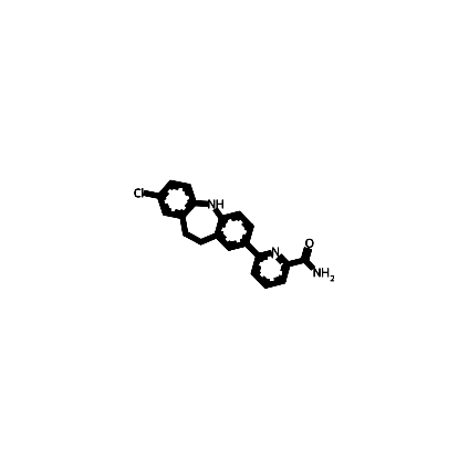 NC(=O)c1cccc(-c2ccc3c(c2)CCc2cc(Cl)ccc2N3)n1